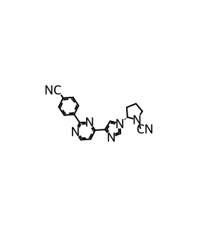 N#Cc1ccc(-c2nccc(-c3cn([C@@H]4CCCN4C#N)cn3)n2)cc1